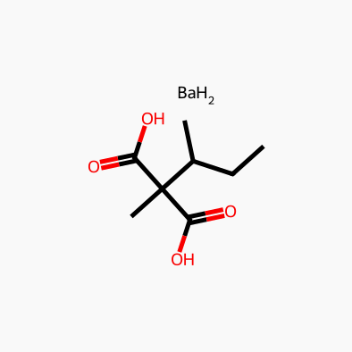 CCC(C)C(C)(C(=O)O)C(=O)O.[BaH2]